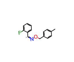 Cc1ccc(CO/N=[C]\c2ccccc2F)cc1